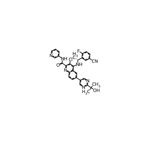 C[C@@H](Nc1c(Cl)c(C(=O)Nc2cccnc2)nc2ccc(-c3cnc(C(C)(C)O)nc3)cc12)c1cc(C#N)ccc1F